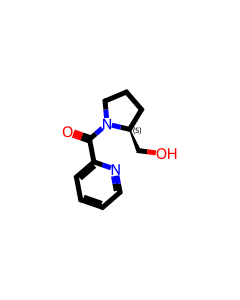 O=C(c1ccccn1)N1CCC[C@H]1CO